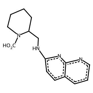 O=C(O)N1CCCCC1CNc1ccc2cccnc2n1